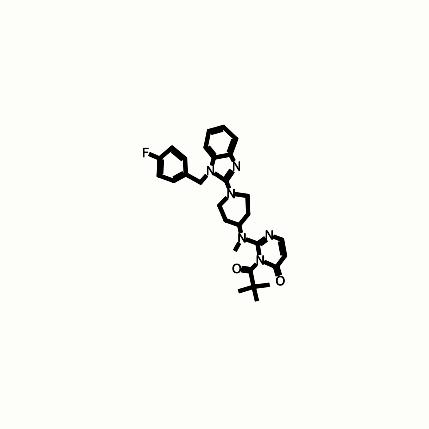 CN(c1nccc(=O)n1C(=O)C(C)(C)C)C1CCN(c2nc3ccccc3n2Cc2ccc(F)cc2)CC1